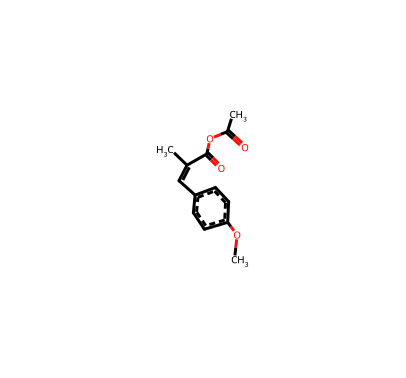 COc1ccc(C=C(C)C(=O)OC(C)=O)cc1